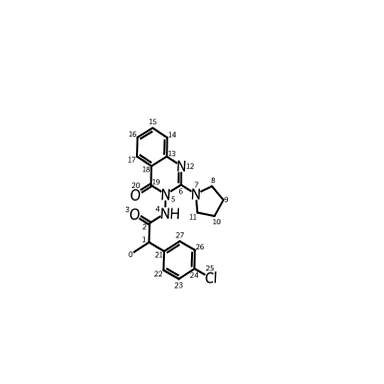 CC(C(=O)Nn1c(N2CCCC2)nc2ccccc2c1=O)c1ccc(Cl)cc1